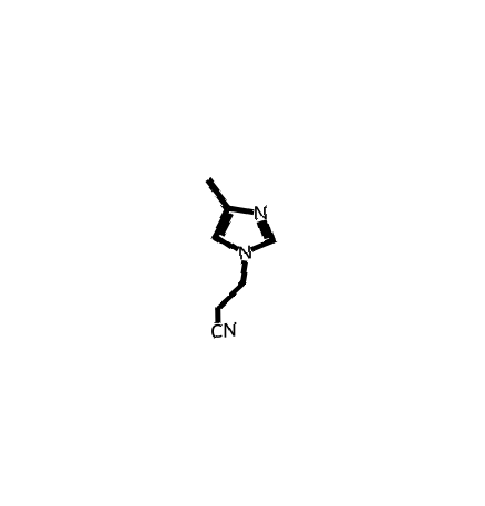 Cc1cn(CCC#N)cn1